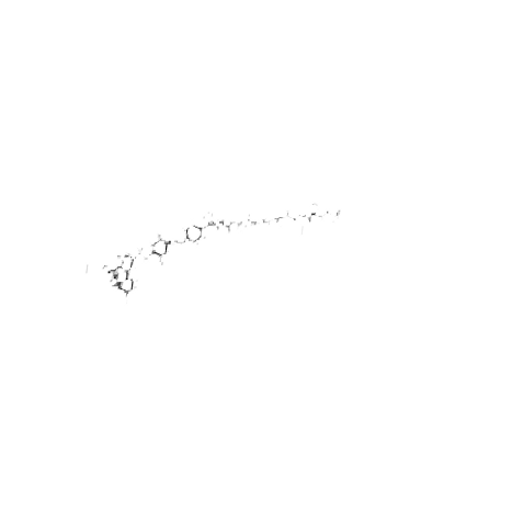 CCCOCCC(=O)NCCCOCCOCCOCCCNC(=O)c1ccc(COc2ccc(CCc3cnc(=C(/C)N)/c(=C4/C=CC(C)=CC4(C)CC)c3)c(C)c2)cc1